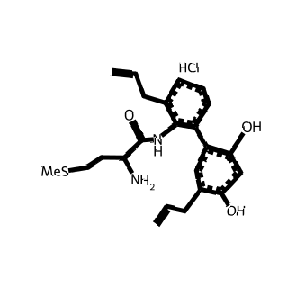 C=CCc1cc(-c2cccc(CC=C)c2NC(=O)C(N)CCSC)c(O)cc1O.Cl